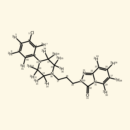 [2H]c1c([2H])c(Cl)c([2H])c(N2C([2H])([2H])C([2H])([2H])N(CCCn3nc4c([2H])c([2H])c([2H])c([2H])n4c3=O)C([2H])([2H])C2([2H])[2H])c1[2H]